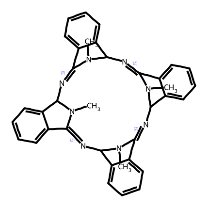 CN1/C2=N\C3c4ccccc4/C(=N/C4c5ccccc5/C(=N/C5c6ccccc6/C(=N/C1c1ccccc12)N5C)N4C)N3C